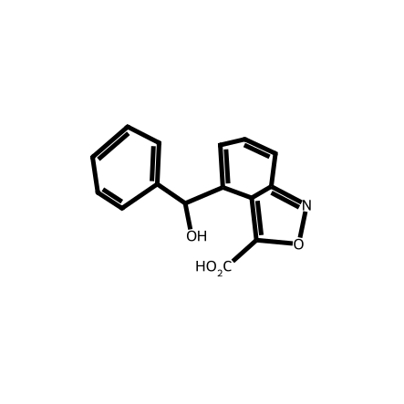 O=C(O)c1onc2cccc(C(O)c3ccccc3)c12